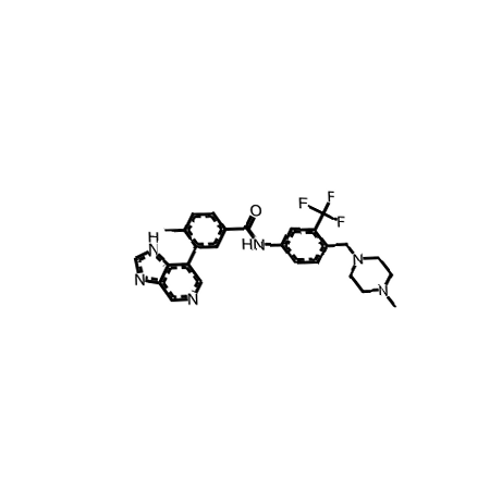 Cc1ccc(C(=O)Nc2ccc(CN3CCN(C)CC3)c(C(F)(F)F)c2)cc1-c1cncc2nc[nH]c12